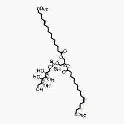 CCCCCCCCCCCCCC=CCCCCCCCCC(=O)OC[C@H](COP(=O)(O)OC[C@@H](O)[C@@H](O)[C@H](O)[C@H](O)CO)OC(=O)CCCCCCCC/C=C\CCCCCCCCCCCCC